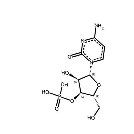 Nc1ccn([C@@H]2O[C@H](CO)[C@@H](OP(=O)(O)O)[C@H]2O)c(=O)n1